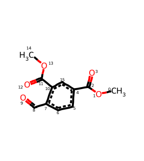 COC(=O)c1ccc([C]=O)c(C(=O)OC)c1